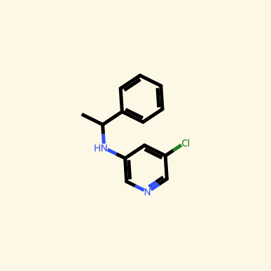 CC(Nc1cncc(Cl)c1)c1ccccc1